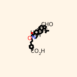 C=C(C)[C@@H]1CC[C@]2(C=O)CC[C@]3(C)[C@H](CC[C@@H]4[C@@]5(C)CCN(C(=O)CCc6ccc(C(=O)O)cc6)C(C)(C)[C@@H]5CC[C@]43C)[C@@H]12